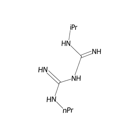 CCCNC(=N)NC(=N)NC(C)C